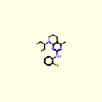 CCC(CC)N1CCCc2c(C)nc(Nc3ccccc3Br)nc21